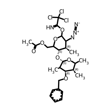 CC(=O)OCC1OC(OC(=N)C(Cl)(Cl)Cl)C(N=[N+]=[N-])[C@@H](C)[C@@H]1O[C@@H]1OC(C)[C@@H](C)[C@@H](OCc2ccccc2)C1C